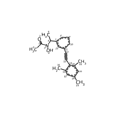 CC(=O)N(O)C(C)c1cccc(C#Cc2c(C)cc(C)cc2C)c1